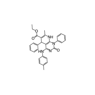 CCOC(=O)C1=C(C)Nc2c(c(Nc3ccc(C)cc3)nc(=O)n2-c2ccccc2)C1c1ccccc1